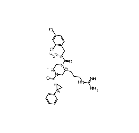 C[C@@H]1CN(C(=O)[C@H](N)Cc2ccc(Cl)cc2Cl)[C@@H](CCCNC(=N)N)CN1C(=O)[C@@H]1C[C@H]1c1ccccc1